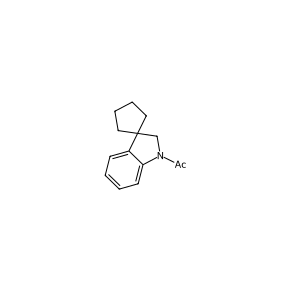 [CH2]C(=O)N1CC2(CCCC2)c2ccccc21